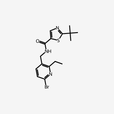 CCc1nc(Br)ccc1CNC(=O)c1cnc(C(C)(C)C)s1